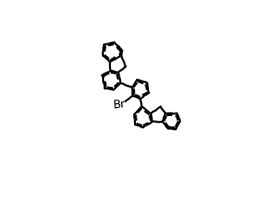 Brc1c(-c2cccc3c2Cc2ccccc2-3)cccc1-c1cccc2c1Cc1ccccc1-2